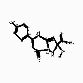 COC1(C(N)=O)C=C2NC(c3ccc(Cl)cc3)=CC(=O)N2N1